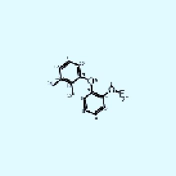 CCOc1[c]cccc1Oc1cccc(C)c1C